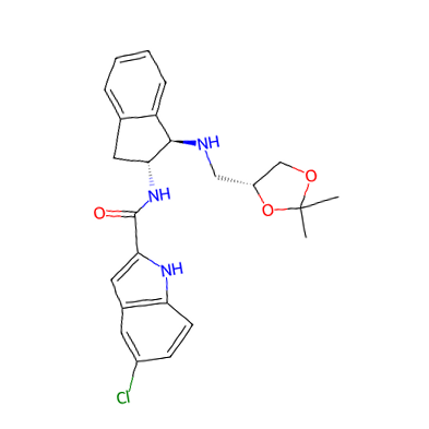 CC1(C)OC[C@@H](CN[C@@H]2c3ccccc3C[C@H]2NC(=O)c2cc3cc(Cl)ccc3[nH]2)O1